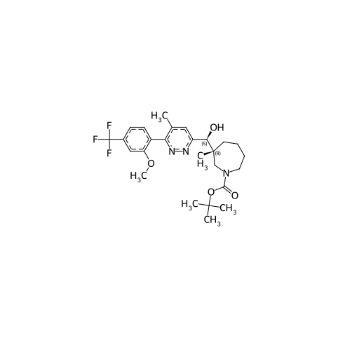 COc1cc(C(F)(F)F)ccc1-c1nnc([C@@H](O)[C@]2(C)CCCCN(C(=O)OC(C)(C)C)C2)cc1C